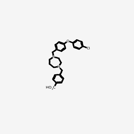 O=C(O)c1ccc(CN2CCCN(Cc3ccc(Oc4ccc(Cl)cc4)cc3)CC2)cc1